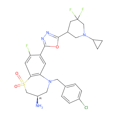 N[C@@H]1CN(Cc2ccc(Cl)cc2)c2cc(-c3nnc(C4CN(C5CC5)CC(F)(F)C4)o3)c(F)cc2S(=O)(=O)C1